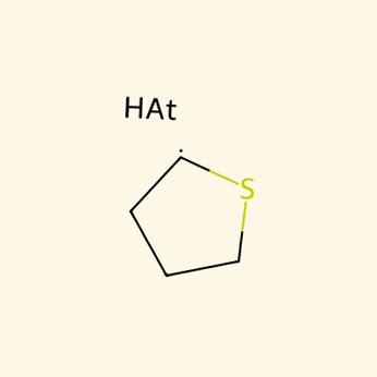 [AtH].[CH]1CCCS1